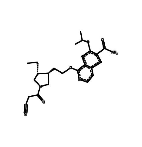 CC[C@H]1CN(C(=O)CC#N)C[C@@H]1CCOc1nccc2cc(C(N)=O)c(OC(C)C)cc12